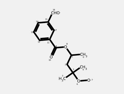 CC(CC(C)(C)O[O])OC(=O)c1cccc([C]=O)c1